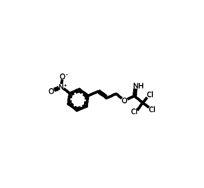 N=C(OCC=Cc1cccc([N+](=O)[O-])c1)C(Cl)(Cl)Cl